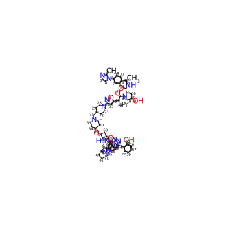 Cc1nccn1-c1ccc([C@H](C)NC(=O)[C@@H]2C[C@@H](O)CN2C(=O)[C@@H](c2cc(N3CCC(CN4CCC(O[C@H]5C[C@H](Oc6cc(N7C8CCC7CN(c7cc(-c9ccccc9O)nnc7N)C8)ccn6)C5)CC4)CC3)no2)C(C)C)cc1